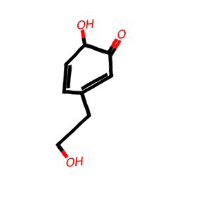 O=C1C=C(CCO)C=CC1O